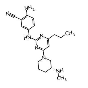 CCCc1cc(N2CCC[C@@H](NC)C2)nc(Nc2ccc(N)c(C#N)c2)n1